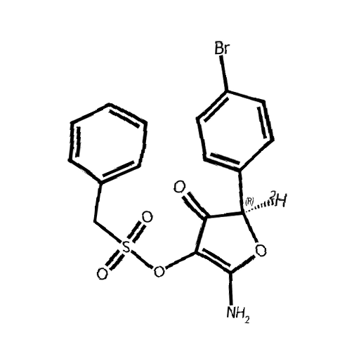 [2H][C@]1(c2ccc(Br)cc2)OC(N)=C(OS(=O)(=O)Cc2ccccc2)C1=O